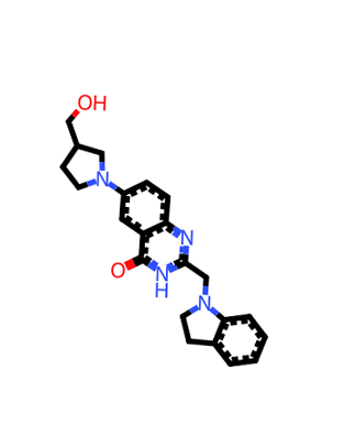 O=c1[nH]c(CN2CCc3ccccc32)nc2ccc(N3CCC(CO)C3)cc12